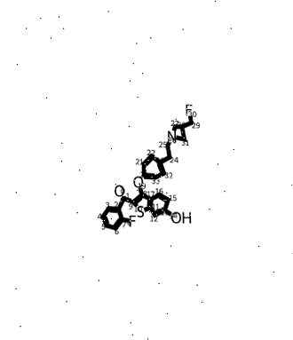 O=C(c1ccccc1F)c1sc2cc(O)ccc2c1Oc1ccc(CCN2CC(CF)C2)cc1